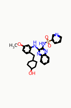 COc1ccc(CC2CCC(O)CC2)c(Nc2nc3ccccc3nc2NS(=O)(=O)c2cccnc2)c1